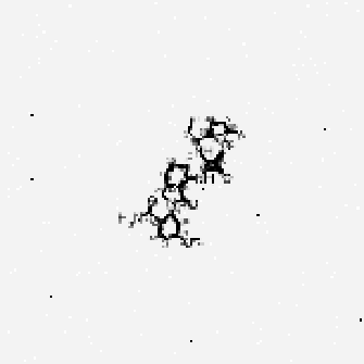 CC[C@@H](Nc1c(Nc2c(F)ccc3c2C(=O)N(c2cc(OC)ccc2C(N)=O)C3)c(=O)c1=O)c1ccc(C)o1